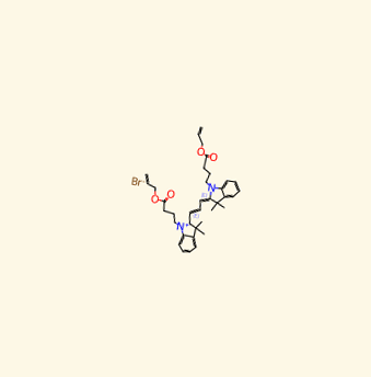 C=CCOC(=O)CCCN1/C(=C/C=C/C2=[N+](CCCC(=O)OCC=C)c3ccccc3C2(C)C)C(C)(C)c2ccccc21.[Br-]